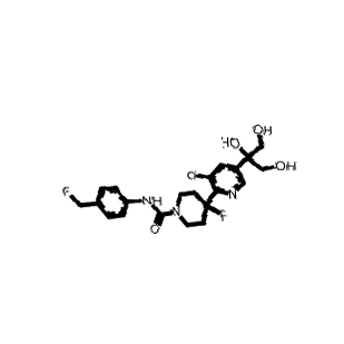 O=C(Nc1ccc(CF)cc1)N1CCC(F)(c2ncc(C(O)(CO)CO)cc2Cl)CC1